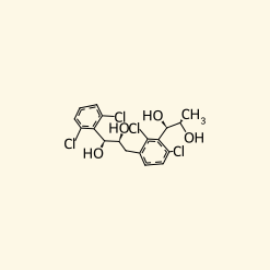 C[C@@H](O)[C@H](O)c1c(Cl)ccc(C[C@H](O)[C@@H](O)c2c(Cl)cccc2Cl)c1Cl